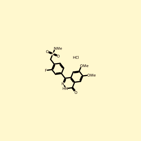 CNS(=O)(=O)Cc1ccc(-c2n[nH]c(=O)c3cc(OC)c(OC)cc23)cc1F.Cl